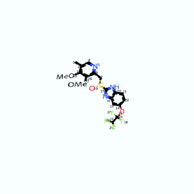 COc1c(C)cnc(C[S+]([O-])c2nc3cc(OC(F)(F)C(F)F)ccc3[nH]2)c1OC